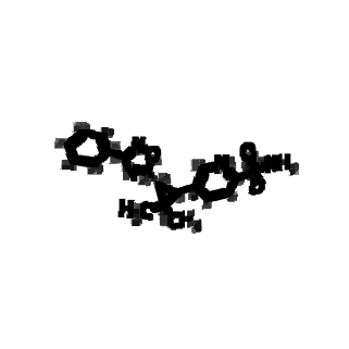 CC1(C)[C@H](c2ccc(S(N)(=O)=O)nc2)[C@H]1c1nc(-c2ccccc2)no1